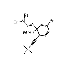 CCN(CC)/N=N/C1(OC)C=C(Br)C=CC1C#C[Si](C)(C)C